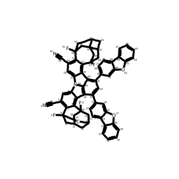 N#Cc1cc2c(c3c1C1(F)CC4CC(C1)CC3(F)C4)c1c(-c3ccc4c(c3)oc3ccccc34)cc(-c3ccc4c(c3)oc3ccccc34)c3c4c5c(c(C#N)cc4n2c13)C1(F)CC2CC3CC5(F)CC23C1